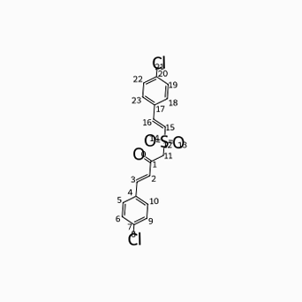 O=C(C=Cc1ccc(Cl)cc1)CS(=O)(=O)C=Cc1ccc(Cl)cc1